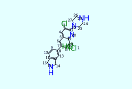 Cl.Cl.Clc1cc2cc(-c3ccc4c(c3)CNC4)ccc2nc1N1CCNCC1